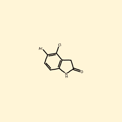 CC(=O)c1ccc2c(c1Cl)CC(=O)N2